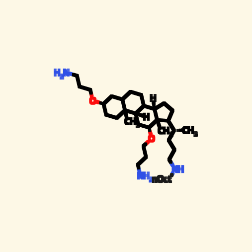 CCCCCCCCNCCC[C@@H](C)C1CC[C@H]2C3CCC4C[C@H](OCCCN)CCC4(C)[C@H]3C[C@H](OCCCN)C12C